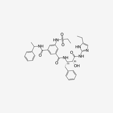 CCc1cnc(NC(=O)[C@H](O)[C@H](Cc2ccccc2)NC(=O)c2cc(NS(=O)(=O)CC)cc(C(=O)NC(C)c3ccccc3)c2)[nH]1